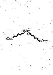 CCCCCCCCCCCCCCCCNC(=O)OCCCCCCCCCCCCCCCC